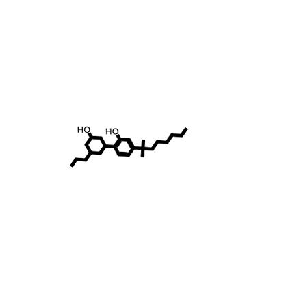 CCCCCCC(C)(C)c1ccc(C2CC(O)CC(CCC)C2)c(O)c1